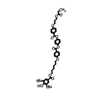 C=CC(=O)OCCCOc1ccc(C(=O)Oc2ccc(OC(=O)c3ccc(OCCCCCCOC(=O)c4cc(C(C)(C)C)c(O)c(C(C)(C)C)c4)cc3)cc2)cc1